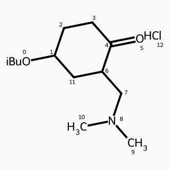 CC(C)COC1CCC(=O)C(CN(C)C)C1.Cl